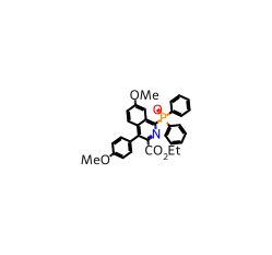 CCOC(=O)c1nc(P(=O)(c2ccccc2)c2ccccc2)c2cc(OC)ccc2c1-c1ccc(OC)cc1